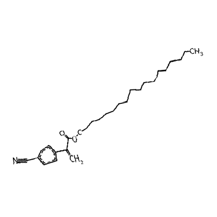 C=C(C(=O)OCCCCCCCCCCCCCCCCCC)c1ccc(C#N)cc1